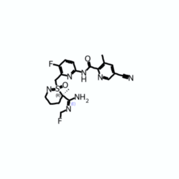 Cc1cc(C#N)cnc1C(=O)Nc1ccc(F)c(CS2(=O)=NCCC[C@]2(C)/C(N)=N\CF)n1